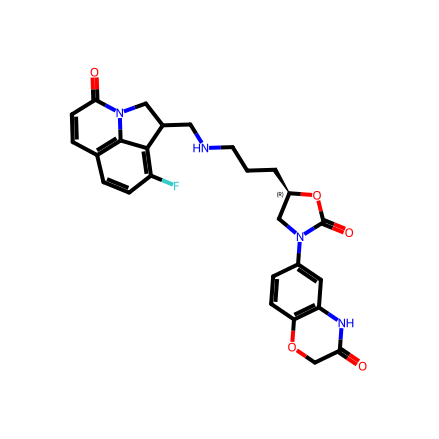 O=C1COc2ccc(N3C[C@@H](CCCNCC4Cn5c(=O)ccc6ccc(F)c4c65)OC3=O)cc2N1